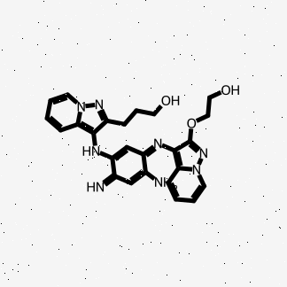 N=C1C=C(N)/C(=N\c2c(OCCO)nn3ccccc23)C=C1Nc1c(CCCO)nn2ccccc12